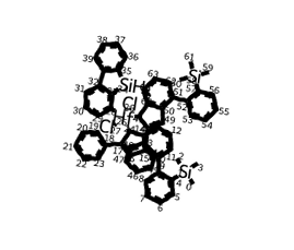 C[Si](C)(C)c1ccccc1-c1cccc2c1C=C(c1ccccc1)[CH]2[Hf]([Cl])([Cl])([c]1cccc2c1[SiH2]c1ccccc1-2)[CH]1C(c2ccccc2)=Cc2c(-c3ccccc3[Si](C)(C)C)cccc21